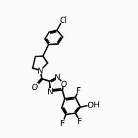 O=C(c1noc(-c2cc(F)c(F)c(O)c2F)n1)N1CCC(c2ccc(Cl)cc2)C1